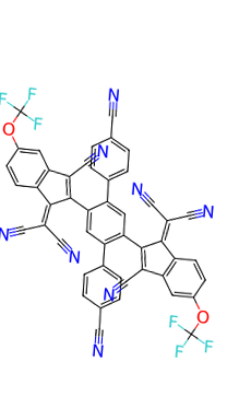 N#CC(C#N)=C1C(c2cc(-c3ccc(C#N)cc3)c(C3=C(C#N)c4cc(OC(F)(F)F)ccc4C3=C(C#N)C#N)cc2-c2ccc(C#N)cc2)=C(C#N)c2cc(OC(F)(F)F)ccc21